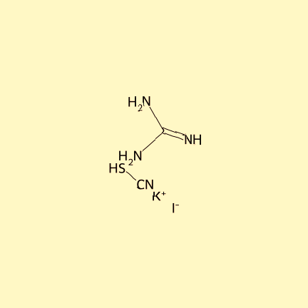 N#CS.N=C(N)N.[I-].[K+]